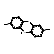 Cc1ccc2c(c1)Nc1ccc(C)cc1S2